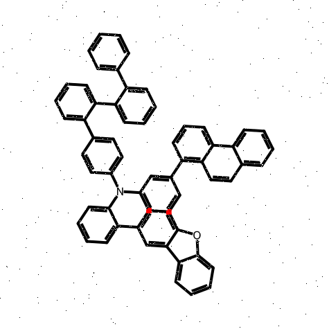 c1ccc(-c2ccccc2-c2ccccc2-c2ccc(N(c3cccc(-c4cccc5c4ccc4ccccc45)c3)c3ccccc3-c3ccc4oc5ccccc5c4c3)cc2)cc1